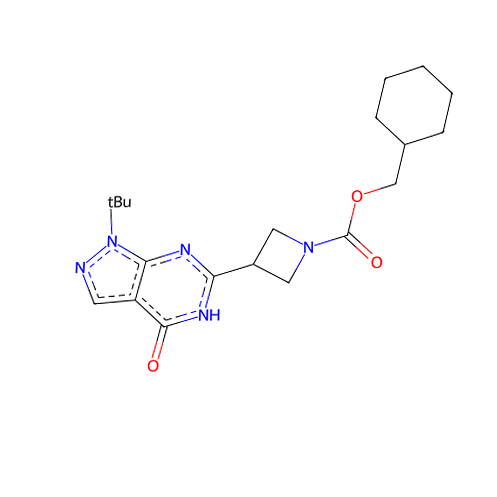 CC(C)(C)n1ncc2c(=O)[nH]c(C3CN(C(=O)OCC4CCCCC4)C3)nc21